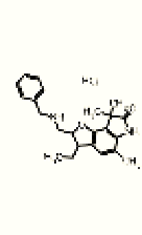 CCC1c2cc(C)c3c(c2OC1CNCc1ccccc1)C(C)(C)C(=O)N3.Cl